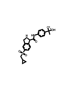 CC(O)(c1ccc(NC(=O)C2NCc3cc(S(=O)(=O)CC4CC4)ccc32)cc1)C(F)(F)F